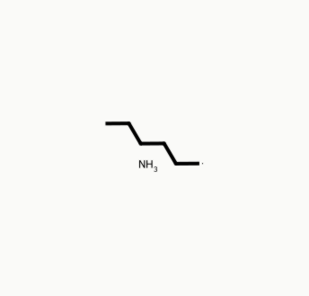 N.[CH2]CCCCC